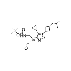 CC(C)C[C@H]1C[C@@H](c2onc([C@H](CC=O)CNC(=O)OC(C)(C)C)c2C2CC2)C1